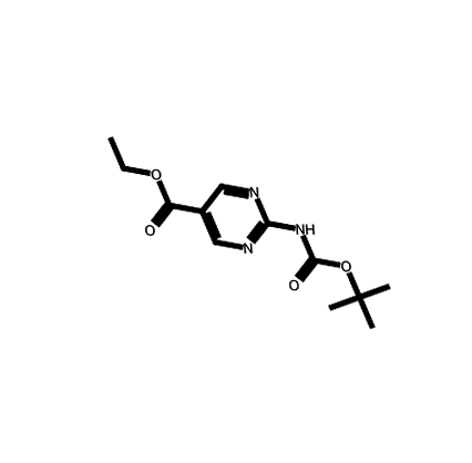 CCOC(=O)c1cnc(NC(=O)OC(C)(C)C)nc1